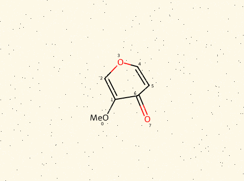 COc1coccc1=O